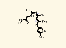 CCNC(=O)CNC(C)/N=C(C)\C=C(/NC)Nc1cc(C)[nH]n1